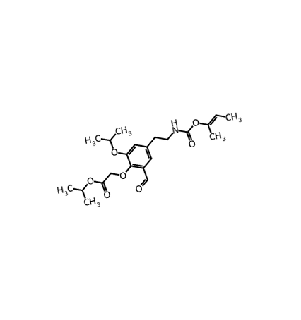 C/C=C(\C)OC(=O)NCCc1cc(C=O)c(OCC(=O)OC(C)C)c(OC(C)C)c1